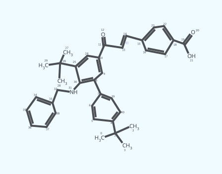 CC(C)(C)c1ccc(-c2cc(C(=O)/C=C/c3ccc(C(=O)O)cc3)cc(C(C)(C)C)c2NCc2ccccc2)cc1